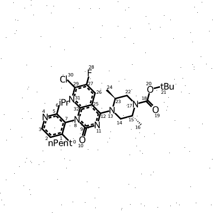 CCCCCc1ccnc(C(C)C)c1-n1c(=O)nc(N2C[C@@H](C)N(C(=O)OC(C)(C)C)C[C@@H]2C)c2cc(F)c(Cl)nc21